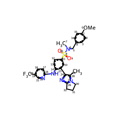 COc1ccc(CN(C)S(=O)(=O)c2ccc(Nc3ccc(C(F)(F)F)cn3)c(-c3nc4n(c3C)CCC4)c2)cc1